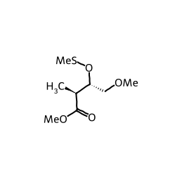 COC[C@@H](OSC)[C@H](C)C(=O)OC